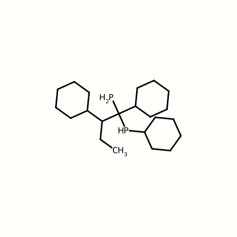 CCC(C1CCCCC1)C(P)(PC1CCCCC1)C1CCCCC1